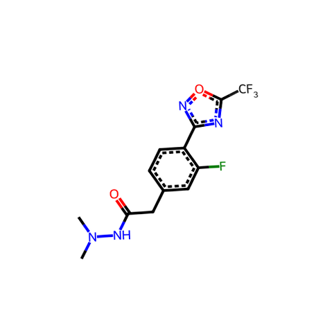 CN(C)NC(=O)Cc1ccc(-c2noc(C(F)(F)F)n2)c(F)c1